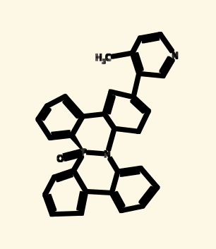 Cc1ccncc1C1=CCC2C(=C1)c1ccccc1[P@]1(=O)c3ccccc3-c3ccccc3N21